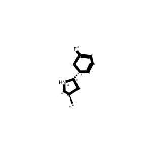 FC1=CC=C[C@H](C2C[C@@H](F)CN2)C1